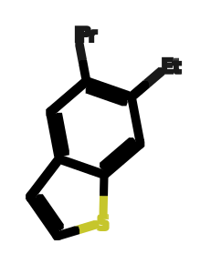 CCc1cc2sccc2cc1C(C)C